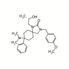 COc1ccc(CN2CC3(CCC(c4ccccc4)(N(C)C)CC3)N(C[C@H](C)O)C2=O)cc1